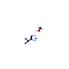 CCC(C)(C)C(=O)On1cc(C2(N)COC2)nn1.Cl